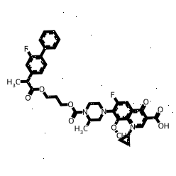 COc1c(N2CCN(C(=O)OCCCOC(=O)C(C)c3ccc(-c4ccccc4)c(F)c3)C(C)C2)c(F)cc2c(=O)c(C(=O)O)cn(C3CC3)c12